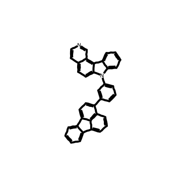 c1cc(-c2ccc3c4c(cccc24)-c2ccccc2-3)cc(-n2c3ccccc3c3c4cnccc4ccc32)c1